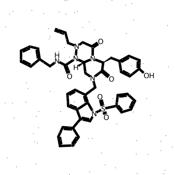 C=CCN1CC(=O)N2[C@@H](Cc3ccc(O)cc3)C(=O)N(Cc3cccc4c(-c5ccccc5)cn(S(=O)(=O)c5ccccc5)c34)C[C@@H]2N1C(=O)NCc1ccccc1